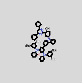 CC(C)(C)c1cc(N2c3ccccc3B3c4ccccc4N(c4cc(C(C)(C)C)cc(C(C)(C)C)c4)c4cc(-c5ccc6c(c5)c5ccccc5n6-c5ccc(C#N)c(-c6nc(-c7ccccc7)cc(-c7ccccc7)n6)c5)cc2c43)cc(C(C)(C)C)c1